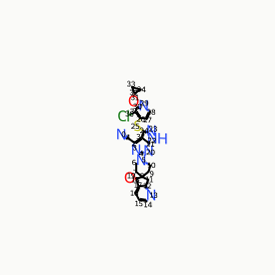 N#Cc1nc(N2CCC3(CC2)Cc2ncccc2C3=O)nc2[nH]nc(Sc3ccnc(OC4CC4)c3Cl)c12